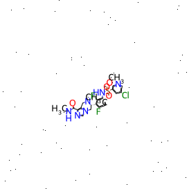 CNC(=O)c1ncn2c1CN(C)[C@H](c1c(F)ccc(NS(=O)(=O)c3cc(Cl)cnc3OC)c1F)C2